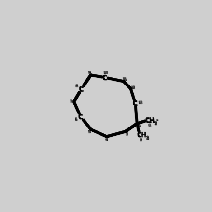 [CH2]C1(C)CCCCCCCCCCC1